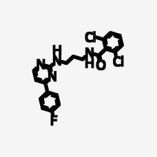 O=C(NCCCNc1nccc(-c2ccc(F)cc2)n1)c1c(Cl)cccc1Cl